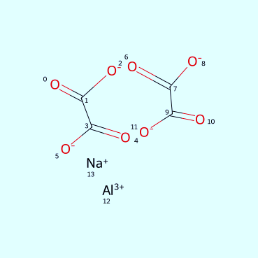 O=C([O-])C(=O)[O-].O=C([O-])C(=O)[O-].[Al+3].[Na+]